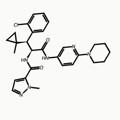 Cn1nccc1C(=O)N[C@H](C(=O)Nc1ccc(N2CCCCC2)nc1)[C@H](c1ccccc1Cl)C1(C)CC1